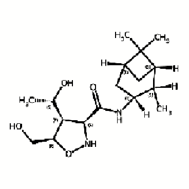 C[C@@H]1[C@H](NC(=O)[C@H]2NO[C@@H](CO)[C@H]2[C@H](C)O)C[C@H]2C[C@@H]1C2(C)C